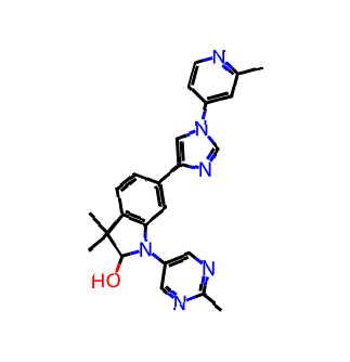 Cc1cc(-n2cnc(-c3ccc4c(c3)N(c3cnc(C)nc3)C(O)C4(C)C)c2)ccn1